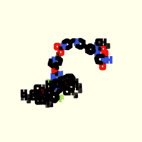 CC(C)[Si](C#Cc1c(F)ccc2cc(O[Si](C(C)C)(C(C)C)C(C)C)cc(-c3ncc4c(N5CCCCCC5)nc(OC[C@@]56CCCN5[C@H](COC(=O)N5CCC(CN7CCC(c8ccc9c(c8)n(C)c(=O)n9C8CCC(=O)NC8=O)CC7)CC5)CC6)nc4c3F)c12)(C(C)C)C(C)C